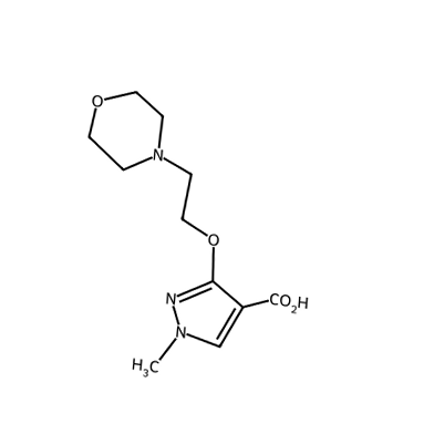 Cn1cc(C(=O)O)c(OCCN2CCOCC2)n1